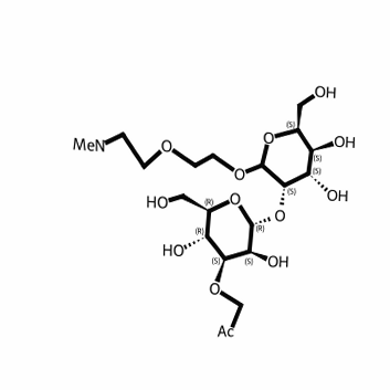 CNCCOCCOC1O[C@@H](CO)[C@@H](O)[C@H](O)[C@@H]1O[C@H]1O[C@H](CO)[C@@H](O)[C@H](OCC(C)=O)[C@@H]1O